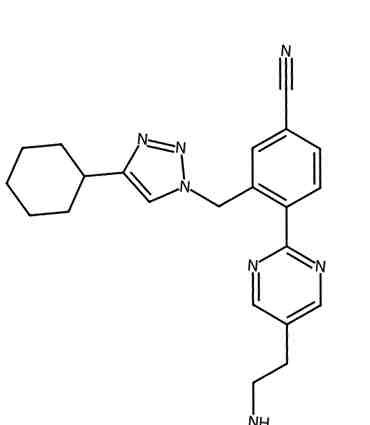 N#Cc1ccc(-c2ncc(CCN)cn2)c(Cn2cc(C3CCCCC3)nn2)c1